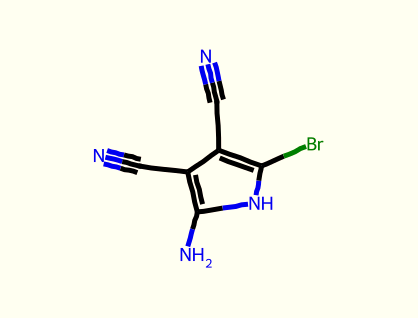 N#Cc1c(N)[nH]c(Br)c1C#N